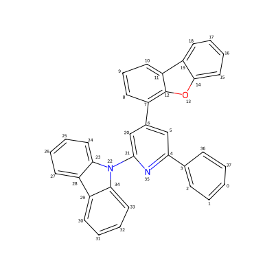 c1ccc(-c2cc(-c3cccc4c3oc3ccccc34)cc(-n3c4ccccc4c4ccccc43)n2)cc1